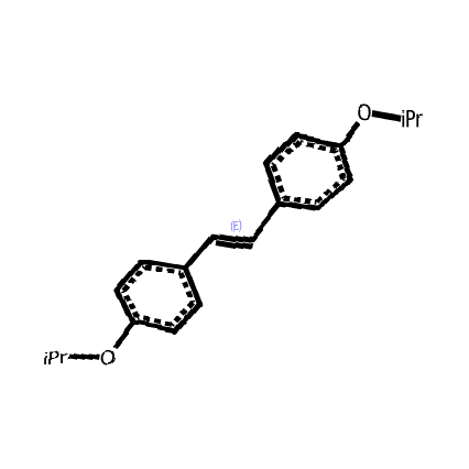 CC(C)Oc1ccc(/C=C/c2ccc(OC(C)C)cc2)cc1